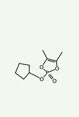 CC1=C(C)OP(=O)(OC2CCCC2)O1